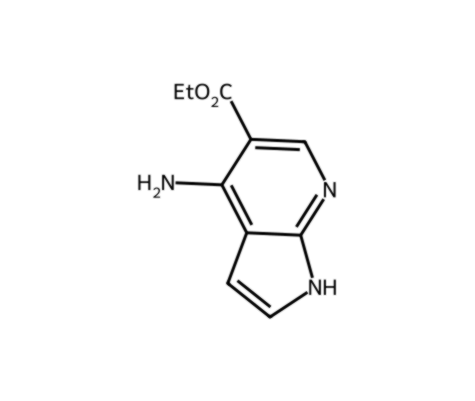 CCOC(=O)c1cnc2[nH]ccc2c1N